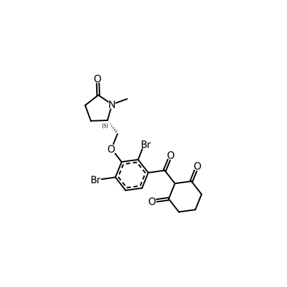 CN1C(=O)CC[C@H]1COc1c(Br)ccc(C(=O)C2C(=O)CCCC2=O)c1Br